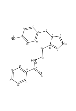 N#Cc1ccc(Cn2cncc2CCNC(=O)c2ccccc2)cc1